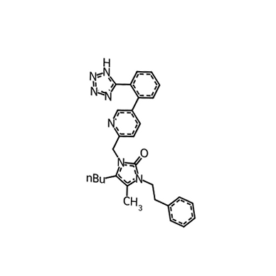 CCCCc1c(C)n(CCc2ccccc2)c(=O)n1Cc1ccc(-c2ccccc2-c2nnn[nH]2)cn1